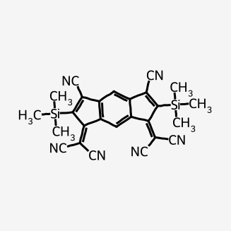 C[Si](C)(C)C1=C(C#N)c2cc3c(cc2C1=C(C#N)C#N)C(=C(C#N)C#N)C([Si](C)(C)C)=C3C#N